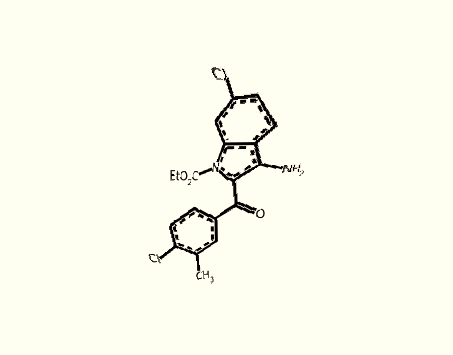 CCOC(=O)n1c(C(=O)c2ccc(Cl)c(C)c2)c(N)c2ccc(Cl)cc21